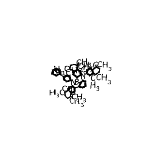 Cc1cc2c(cc1N1c3cc4c(cc3B3c5c(cccc51)-c1cc5c(cc1N3c1ccc(-c3ccccc3)cc1)C(C)(C)CCC5(C)C)C(C)(C)CCC4(C)C)C(C)(C)CCC2(C)C